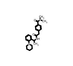 CC(NC(=O)Cc1ccc(C(=O)N(C)C)cc1)c1ccccc1N1CCCCC1